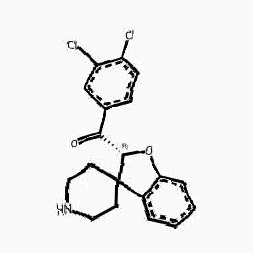 O=C(c1ccc(Cl)c(Cl)c1)[C@@H]1Oc2ccccc2C12CCNCC2